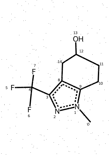 Cn1nc(C(F)(F)F)c2c1CCC(O)C2